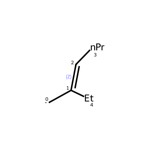 [CH2]/C(=C/CCC)CC